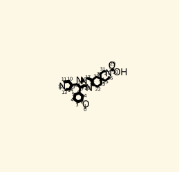 COc1cccc(-c2c(-c3ccncc3)nn3cc4c(nc23)CCC2(CCN(C(=O)O)CC2)C4)c1